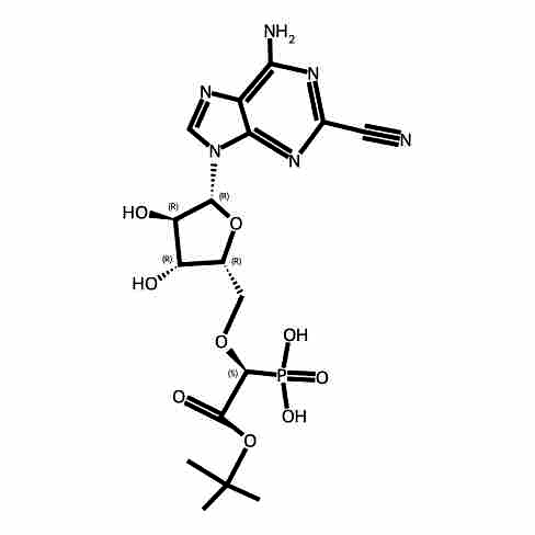 CC(C)(C)OC(=O)[C@@H](OC[C@H]1O[C@@H](n2cnc3c(N)nc(C#N)nc32)[C@H](O)[C@H]1O)P(=O)(O)O